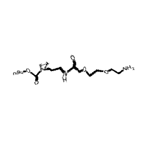 CCCCOC(=O)NCCNC(=O)COCCOCCN